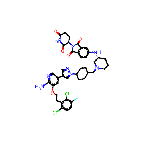 Nc1ncc(-c2cnn(C3CCC(CN4CCC[C@@H](Nc5ccc6c(c5)C(=O)N(C5CCC(=O)NC5=O)C6=O)C4)CC3)c2)cc1OCCc1c(Cl)ccc(F)c1Cl